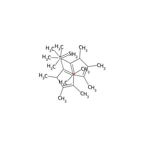 CC1=C(C)C(C)[C]([Ti]([CH3])([CH3])([CH3])([CH3])(=[SiH2])[C]2=C(C)C(C)=C(C)C2C)=C1C